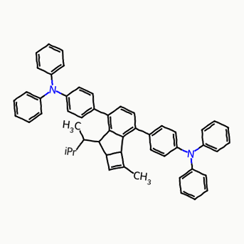 CC1=CC2C1c1c(-c3ccc(N(c4ccccc4)c4ccccc4)cc3)ccc(-c3ccc(N(c4ccccc4)c4ccccc4)cc3)c1C2C(C)C(C)C